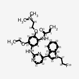 C=CC(=O)Nc1cc(Nc2nccc(-c3cn(CCF)c4ccccc34)n2)c(OCC)cc1OCCN(C)C